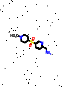 NCc1ccc(S(=O)(=O)C2CCN(C(=O)O)CC2)cn1